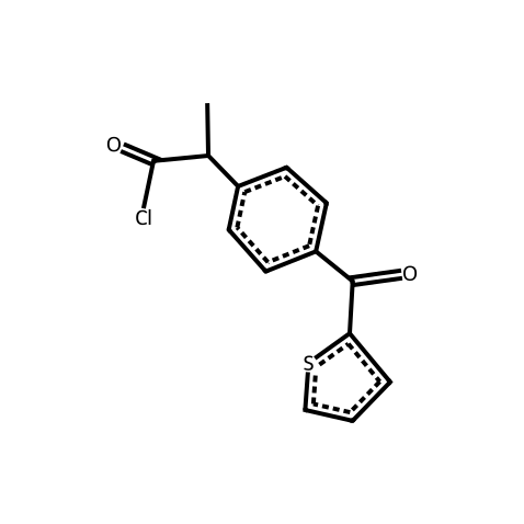 CC(C(=O)Cl)c1ccc(C(=O)c2cccs2)cc1